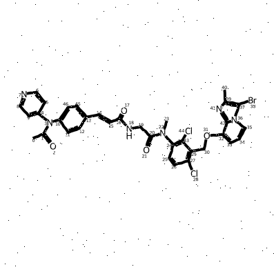 CC(=O)N(c1ccncc1)c1ccc(C=CC(=O)NCC(=O)N(C)c2ccc(Cl)c(COc3cccn4c(Br)c(C)nc34)c2Cl)cc1